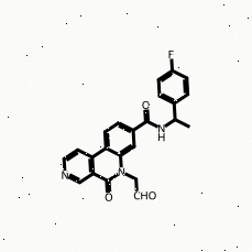 CC(NC(=O)c1ccc2c3ccncc3c(=O)n(CC=O)c2c1)c1ccc(F)cc1